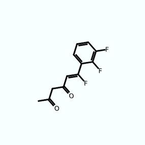 CC(=O)CC(=O)C=C(F)c1cccc(F)c1F